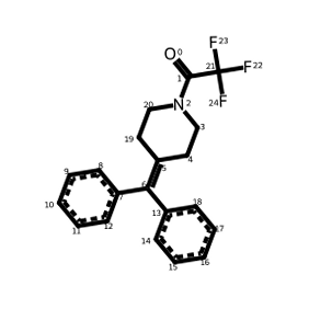 O=C(N1CCC(=C(c2ccccc2)c2ccccc2)CC1)C(F)(F)F